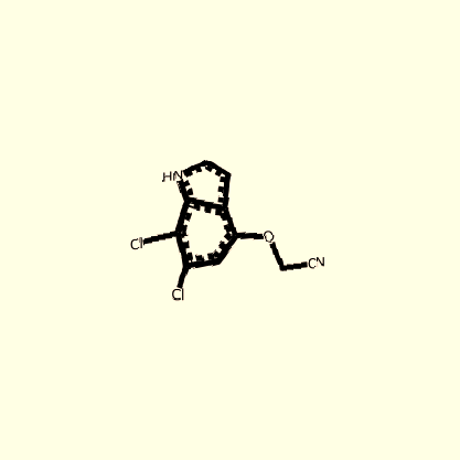 N#CCOc1cc(Cl)c(Cl)c2[nH]ccc12